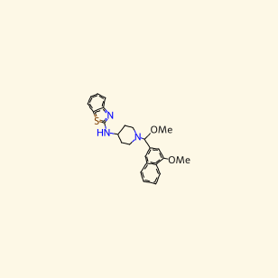 COc1cc(C(OC)N2CCC(Nc3nc4ccccc4s3)CC2)cc2ccccc12